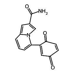 NC(=O)c1cc2cccc(C3=CC(=O)C=CC3=O)n2c1